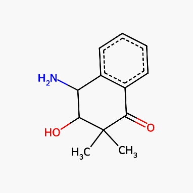 CC1(C)C(=O)c2ccccc2C(N)C1O